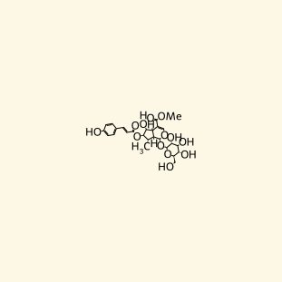 COC(=O)C1=CO[C@@H](O[C@@H]2O[C@H](CO)[C@@H](O)[C@H](O)[C@H]2O)[C@@H]2[C@H](C)[C@@H](OC(=O)/C=C/c3ccc(O)cc3)[C@@H](O)[C@H]12